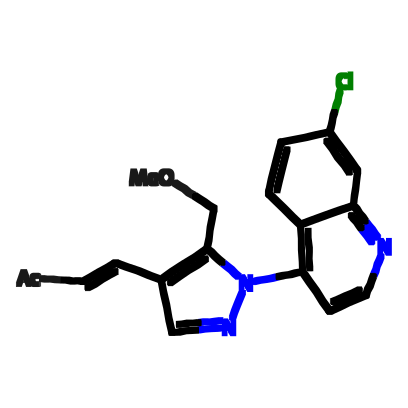 COCc1c(/C=C/C(C)=O)cnn1-c1ccnc2cc(Cl)ccc12